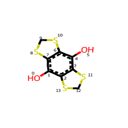 Oc1c2c(c(O)c3c1SCS3)SCS2